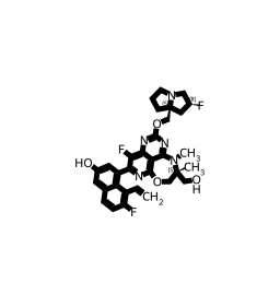 C=Cc1c(F)ccc2cc(O)cc(-c3nc4c5c(nc(OC[C@@]67CCCN6C[C@H](F)C7)nc5c3F)N(C)[C@@](C)(CO)CO4)c12